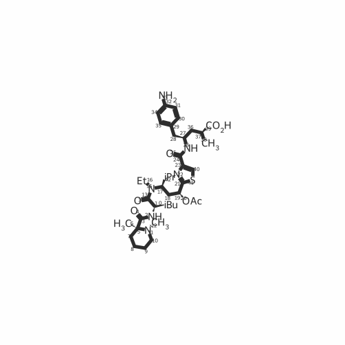 CC[C@H](C)[C@H](NC(=O)[C@]1(C)CCCCN1C)C(=O)N(CC)[C@H](C[C@@H](OC(C)=O)c1nc(C(=O)N[C@@H](Cc2ccc(N)cc2)C[C@H](C)C(=O)O)cs1)C(C)C